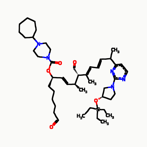 CC[Si](CC)(CC)O[C@H]1CCN(c2nccc(C(C)/C=C/C=C(\C)[C@@H](C=O)[C@@H](C)/C=C/[C@@H](CCCCCC=O)OC(=O)N3CCN(C4CCCCCC4)CC3)n2)C1